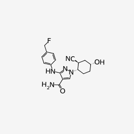 N#C[C@H]1C[C@H](O)CC[C@@H]1n1cc(C(N)=O)c(Nc2ccc(CF)cc2)n1